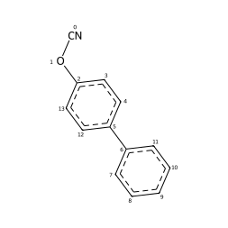 N#COc1ccc(-c2ccccc2)cc1